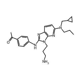 CCCN(CC1CC1)c1ccc2nc(Nc3ccc(C(C)=O)cc3)n(CCCN)c2n1